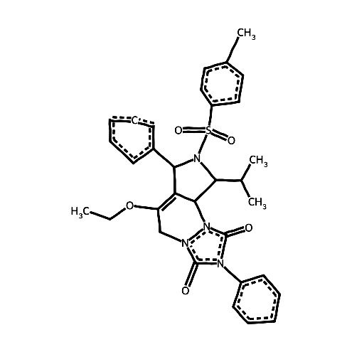 CCOC1=C2C(c3ccccc3)N(S(=O)(=O)c3ccc(C)cc3)C(C(C)C)C2n2c(=O)n(-c3ccccc3)c(=O)n2C1